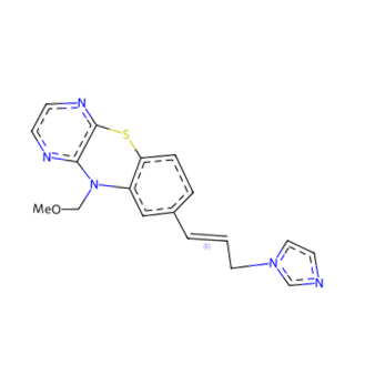 COCN1c2cc(/C=C/Cn3ccnc3)ccc2Sc2nccnc21